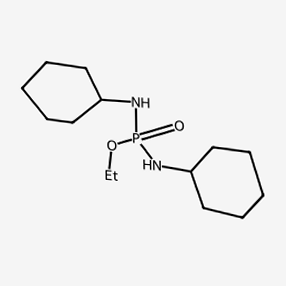 CCOP(=O)(NC1CCCCC1)NC1CCCCC1